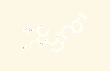 Cc1c(C(N)=O)c(CO)nn1-c1cccc2cc(Cc3cccc(C(F)(F)F)c3)sc12